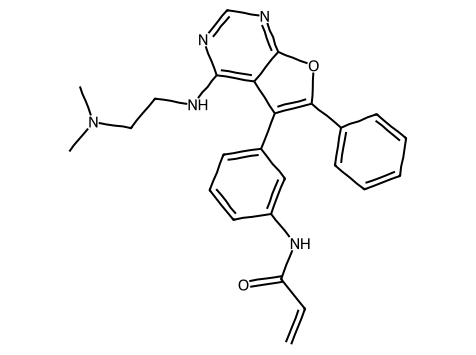 C=CC(=O)Nc1cccc(-c2c(-c3ccccc3)oc3ncnc(NCCN(C)C)c23)c1